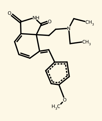 CCN(CC)CCC12C(=O)NC(=O)C1=CC=C/C2=C\c1ccc(OC)cc1